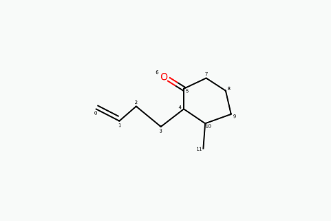 C=CCCC1C(=O)CCCC1C